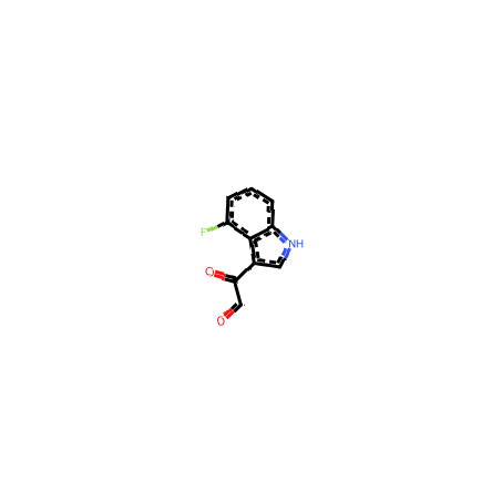 O=[C]C(=O)c1c[nH]c2cccc(F)c12